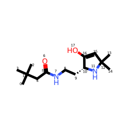 CC(C)(C)CC(=O)NCC[C@H]1NC(C)(C)C=C1O